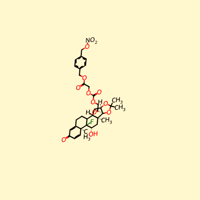 CC1(C)O[C@@H]2C[C@H]3C4CCC5=CC(=O)C=C[C@]5(C)[C@@]4(F)[C@@H](O)C[C@]3(C)[C@]2(C(=O)COC(=O)OCC(=O)OCc2ccc(CO[N+](=O)[O-])cc2)O1